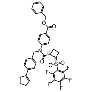 O=C(OCc1ccccc1)c1ccc(N(Cc2ccc(C3=CCCC3)cc2)C(=O)[C@H]2CCN2S(=O)(=O)c2c(F)c(F)c(F)c(F)c2F)cc1